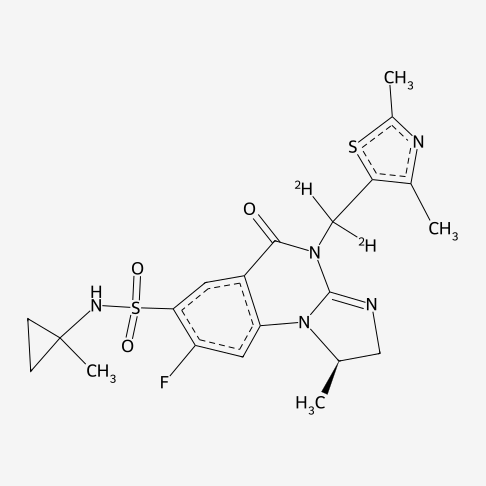 [2H]C([2H])(c1sc(C)nc1C)N1C(=O)c2cc(S(=O)(=O)NC3(C)CC3)c(F)cc2N2C1=NC[C@H]2C